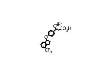 CC(C)O[C@@H](CC(=O)O)c1ccc(OC2CCc3c2cccc3C(F)(F)F)cc1